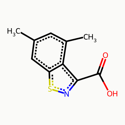 Cc1cc(C)c2c(C(=O)O)nsc2c1